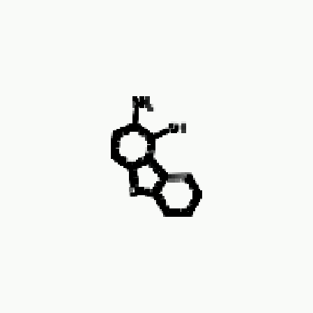 Nc1ccc2oc3ccccc3c2c1O